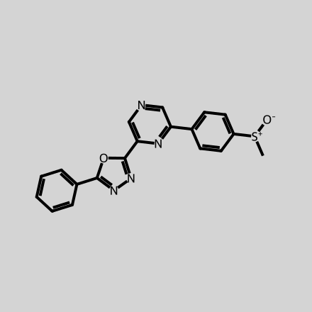 C[S+]([O-])c1ccc(-c2cncc(-c3nnc(-c4ccccc4)o3)n2)cc1